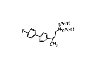 CCCCCN(C/C=C(/C)c1ccc(-c2ccc(F)cc2)cc1)CCCCC